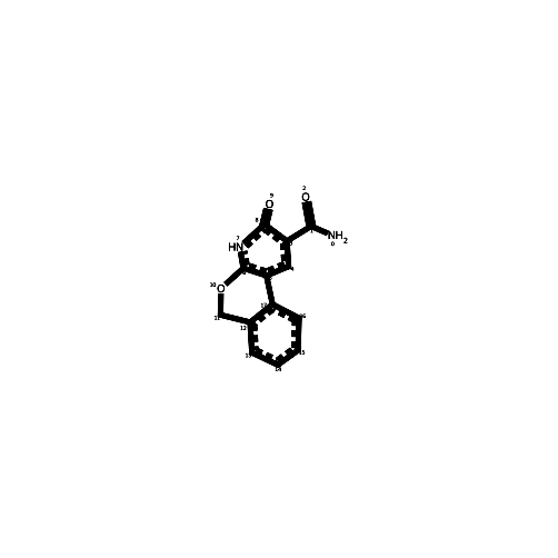 NC(=O)c1cc2c([nH]c1=O)OCc1ccccc1-2